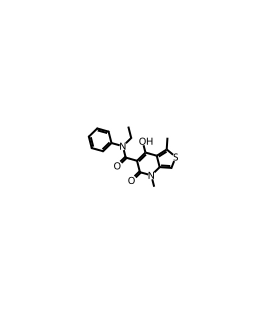 CCN(C(=O)c1c(O)c2c(C)scc2n(C)c1=O)c1ccccc1